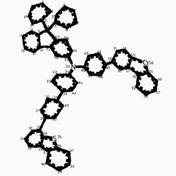 c1ccc(C2(c3ccccc3)c3ccccc3-c3cc(N(c4ccc(-c5ccc(-c6cccc7c6sc6ccccc67)cc5)cc4)c4ccc(-c5ccc6oc7ccccc7c6c5)cc4)ccc32)cc1